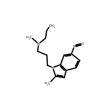 CCCN(C)CCCn1c(C)cc2ccc(N=O)cc21